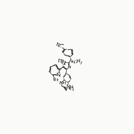 CCc1cccc(-c2[nH]c(N(C)c3ccc(C#N)cc3)nc2C2=CC3NC=CNC3C=C2)n1